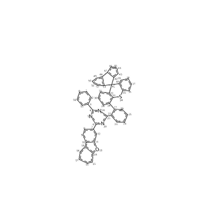 c1ccc(-c2nc(-c3ccc4c(c3)oc3ccccc34)nc(-c3ccccc3-c3cccc4c3Sc3ccccc3C43c4ccccc4-c4ccccc43)n2)cc1